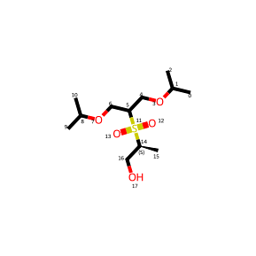 CC(C)OCC(COC(C)C)S(=O)(=O)[C@@H](C)CO